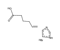 Br.C=CCCCC(=O)O.c1c[nH]cn1